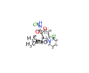 COC1([n+]2ccccc2)C(Cl)=CC([O-])(C(=O)NCl)C=C1C=C(C)C